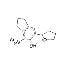 Nc1c(O)c(C2CCCO2)cc2c1CCC2